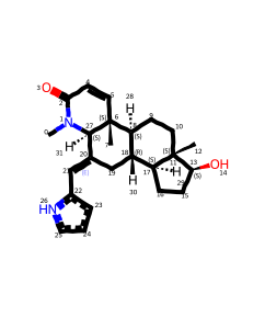 CN1C(=O)C=C[C@]2(C)[C@H]3CC[C@]4(C)[C@@H](O)CC[C@H]4[C@@H]3C/C(=C\c3ccc[nH]3)[C@@H]12